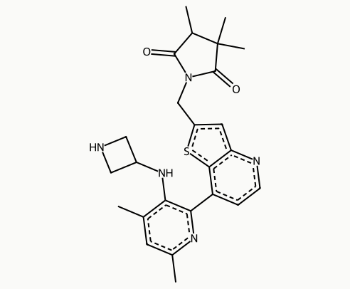 Cc1cc(C)c(NC2CNC2)c(-c2ccnc3cc(CN4C(=O)C(C)C(C)(C)C4=O)sc23)n1